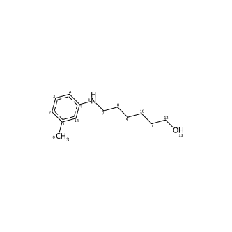 Cc1cccc(NCCCCCCO)c1